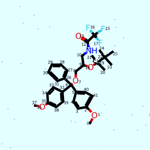 COc1ccc(C(OCC(CNC(=O)C(F)(F)F)O[Si](C)(C)C(C)(C)C)(c2ccccc2)c2ccc(OC)cc2)cc1